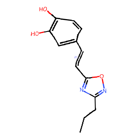 CCCc1noc(/C=C/c2ccc(O)c(O)c2)n1